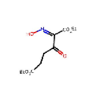 CCOC(=O)CCC(=O)/C(=N\O)C(=O)OCC